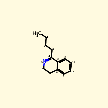 CCCCC1=NCCc2ccccc21